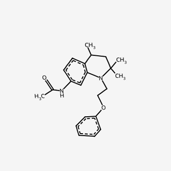 CC(=O)Nc1ccc2c(c1)N(CCOc1ccccc1)C(C)(C)CC2C